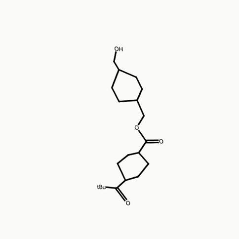 CC(C)(C)C(=O)C1CCC(C(=O)OCC2CCC(CO)CC2)CC1